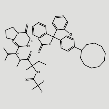 CCC(C)(NC(=O)C(F)(F)F)C(=O)N(C)[C@H](C(=O)N[C@@H](CC(=O)OC(c1ccccc1)(c1ccc(C2CCCCCCCCC2)cc1)c1ccccc1Cl)C(=O)N1CCCC1)C(C)C